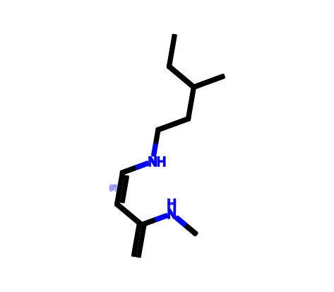 C=C(/C=C\NCCC(C)CC)NC